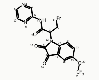 CC(C)CC(C(=O)Nc1cnccn1)N1C(=O)C(=O)c2cc(OC(F)(F)F)ccc21